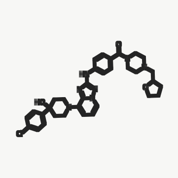 O=C(c1ccc(Nc2nc3c(N4CCC(O)(c5ccc(Cl)cc5)CC4)cccn3n2)cc1)N1CCN(CC2CCCO2)CC1